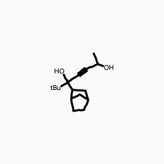 CC(O)C#CC(O)(C1CC2CCC1C2)C(C)(C)C